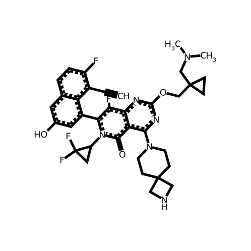 C#Cc1c(F)ccc2cc(O)cc(-c3c(F)c4nc(OCC5(CN(C)C)CC5)nc(N5CCC6(CC5)CNC6)c4c(=O)n3C3CC3(F)F)c12